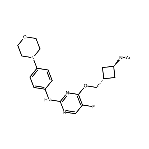 CC(=O)N[C@H]1C[C@H](COc2nc(Nc3ccc(N4CCOCC4)cc3)ncc2F)C1